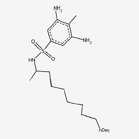 CCCCCCCCCCCCCCCCCC(C)NS(=O)(=O)c1cc(N)c(C)c(N)c1